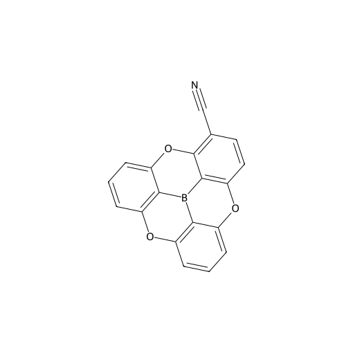 N#Cc1ccc2c3c1Oc1cccc4c1B3c1c(cccc1O2)O4